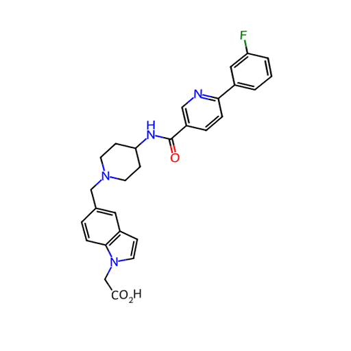 O=C(O)Cn1ccc2cc(CN3CCC(NC(=O)c4ccc(-c5cccc(F)c5)nc4)CC3)ccc21